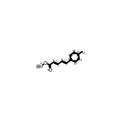 CCC(C)OC(=O)/C=C/C=C/c1ccc(C)cc1